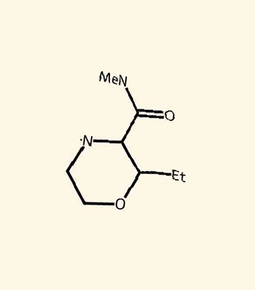 CCC1OCC[N]C1C(=O)NC